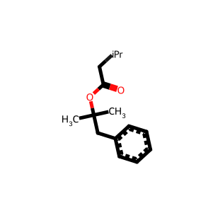 CC(C)CC(=O)OC(C)(C)Cc1ccccc1